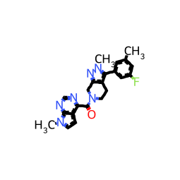 Cc1cc(F)cc(-c2c3c(nn2C)CN(C(=O)c2ncnc4c2ccn4C)CC3)c1